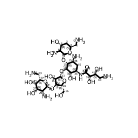 NC[C@@H]1C[C@@H](O)C(N)[C@@H](O[C@H]2[C@H](O[C@@H]3O[C@H](CO)[C@@H](O[C@H]4O[C@@H](CN)[C@@H](O)[C@H](O)[C@H]4N)[C@H]3O)[C@@H](O)[C@H](NC(=O)[C@@H](O)[C@@H](O)CN)C[C@@H]2N)O1